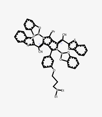 CCN(CC)CCCOc1cccc(-c2c3/c(=C(\C#N)c4nc5ccccc5s4)n(B4Oc5ccccc5O4)c(C(C)C)c3/c(=C(\C#N)c3nc4ccccc4s3)n2B2Oc3ccccc3O2)c1